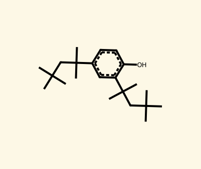 CC(C)(C)CC(C)(C)c1ccc(O)c(C(C)(C)CC(C)(C)C)c1